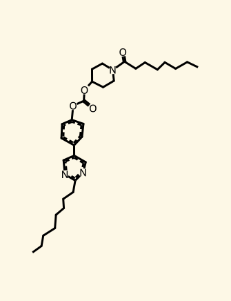 CCCCCCCCc1ncc(-c2ccc(OC(=O)OC3CCN(C(=O)CCCCCCC)CC3)cc2)cn1